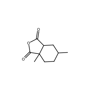 CC1CCC2(C)C(=O)OC(=O)C2C1